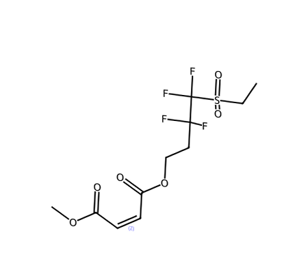 CCS(=O)(=O)C(F)(F)C(F)(F)CCOC(=O)/C=C\C(=O)OC